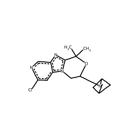 CC1(C)OC(N2CC3CC2C3)Cn2c1nc1cnc(Cl)cc12